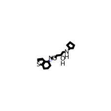 OC(CNC1CCCC1)CO/N=C1\CCCc2sccc21